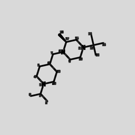 CC(C)N1CCC(CN2CCN(C(C)(C)C)C[C@@H]2C)CC1